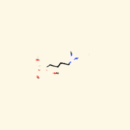 CCO[Si](CCCCN(C)C(=O)O)(OCC)OCC